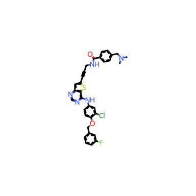 CN(C)Cc1ccc(C(=O)NCC#Cc2cc3ncnc(Nc4ccc(OCc5cccc(F)c5)c(Cl)c4)c3s2)cc1